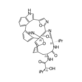 CC(C)[C@H](O)C(=O)N[C@H]1Cc2ccc3c(c2)[C@]24c5cccc(c5NC2O3)-c2cccc3[nH]cc(c23)-c2cnc(o2)-c2nc(oc24)[C@H](C(C)C)NC1=O